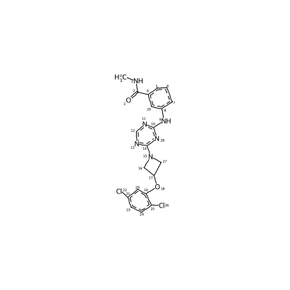 CNC(=O)c1cccc(Nc2ncnc(N3CC(Oc4cc(Cl)ccc4Cl)C3)n2)c1